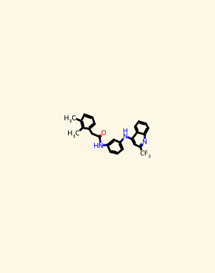 Cc1cccc(CC(=O)Nc2cccc(Nc3cc(C(F)(F)F)nc4ccccc34)c2)c1C